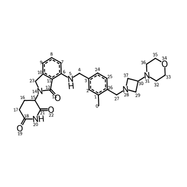 Cc1cc(CNc2cccc3c2C(=O)N(C2CCC(=O)NC2=O)C3)ccc1CN1CC(N2CCOCC2)C1